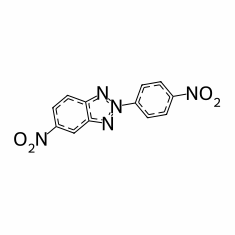 O=[N+]([O-])c1ccc(-n2nc3ccc([N+](=O)[O-])cc3n2)cc1